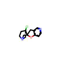 ClC12CCN(CC1)CC21Cc2cnccc2O1